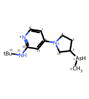 C[AsH]C1CCN(c2ccnc(NC(C)(C)C)c2)C1